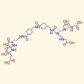 O=C(O)CC[C@H](NC(=O)N[C@@H](CCCCNC(=O)C1CCC(CNC(=O)C2CCC(CNC(=O)CN(CCNCC(=O)O)CCN(CCNCC(=O)O)CC(=O)O)CC2)CC1)C(=O)O)C(=O)O